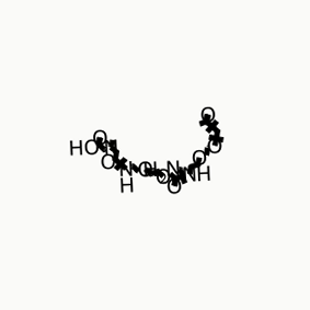 CC(=O)C(C)(C)CC(C)(C)OCCOCCNC(C)(CN)C(=O)COCCOCCNC(C)(C)C(=O)CN(C)CC(=O)O